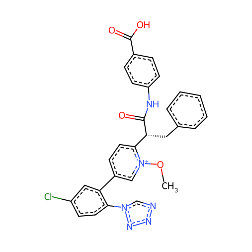 CO[n+]1cc(-c2cc(Cl)ccc2-n2cnnn2)ccc1[C@@H](Cc1ccccc1)C(=O)Nc1ccc(C(=O)O)cc1